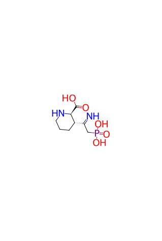 N=C(CP(=O)(O)O)[C@@H]1CCCN[C@H]1C(=O)O